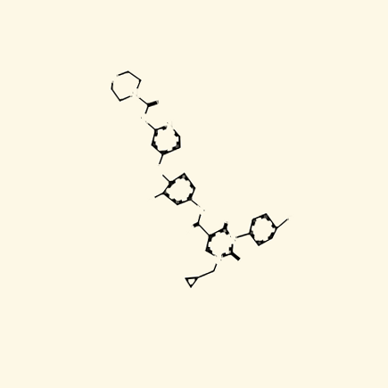 O=C(Nc1ccc(Oc2ccnc(NC(=O)N3CCOCC3)c2)c(F)c1)c1cn(CC2CC2)c(=O)n(-c2ccc(F)cc2)c1=O